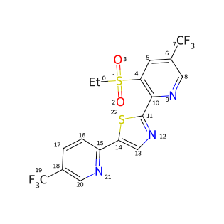 CCS(=O)(=O)c1cc(C(F)(F)F)cnc1-c1ncc(-c2ccc(C(F)(F)F)cn2)s1